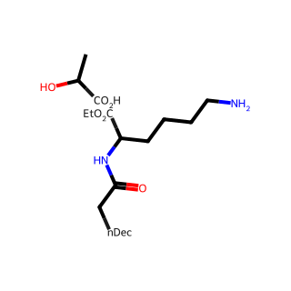 CC(O)C(=O)O.CCCCCCCCCCCC(=O)NC(CCCCN)C(=O)OCC